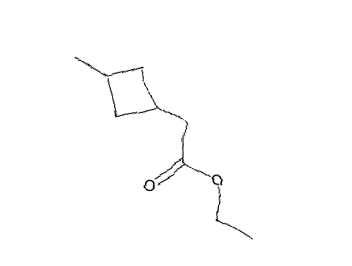 CCOC(=O)CC1CC(C)C1